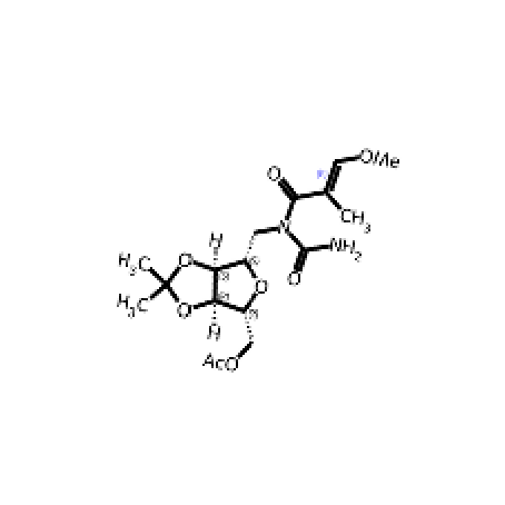 CO/C=C(\C)C(=O)N(C[C@@H]1O[C@H](COC(C)=O)[C@H]2OC(C)(C)O[C@H]21)C(N)=O